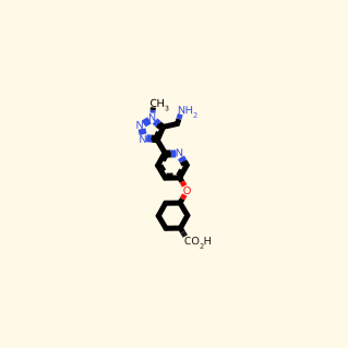 Cn1nnc(-c2ccc(OC3CCCC(C(=O)O)C3)cn2)c1CN